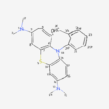 CN(C)c1ccc2c(c1)Sc1cc(N(C)C)ccc1N2c1ccccc1C=O